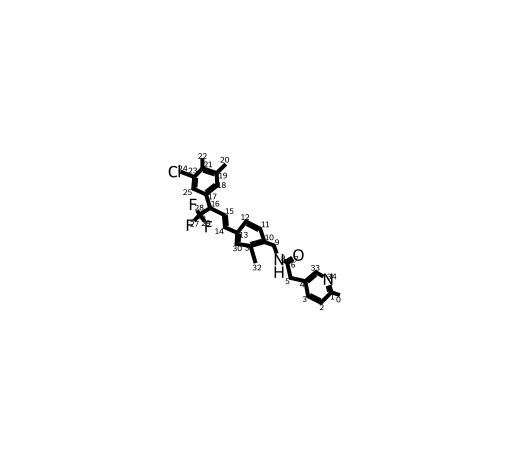 Cc1ccc(CC(=O)NCc2ccc(/C=C/C(c3cc(C)c(C)c(Cl)c3)C(F)(F)F)cc2C)cn1